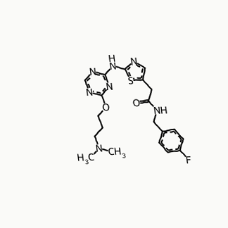 CN(C)CCCOc1ncnc(Nc2ncc(CC(=O)NCc3ccc(F)cc3)s2)n1